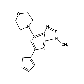 Cn1[c]nc2c(N3CCOCC3)nc(-c3cccs3)nc21